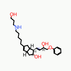 OCCCNCCCCCC1=C[C@H]2C[C@@H](O)[C@H](/C=C/[C@@H](O)COc3ccccc3)[C@H]2C1